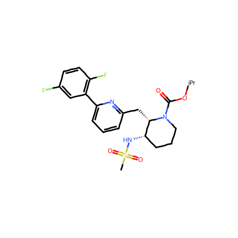 CC(C)OC(=O)N1CCC[C@H](NS(C)(=O)=O)[C@@H]1Cc1cccc(-c2cc(F)ccc2F)n1